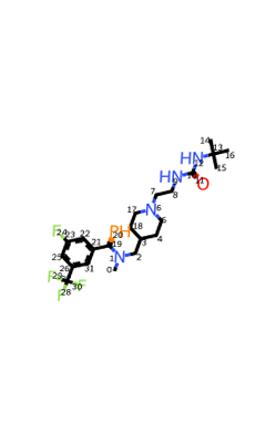 CN(CC1CCN(CCNC(=O)NC(C)(C)C)CC1)C(=P)c1cc(F)cc(C(F)(F)F)c1